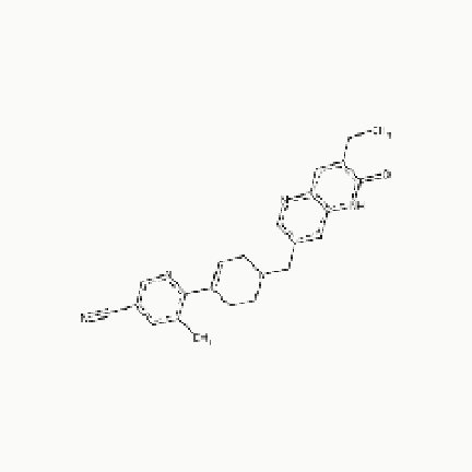 CCc1cc2ncc(CN3CC=C(c4ncc(C#N)cc4C)CC3)cc2[nH]c1=O